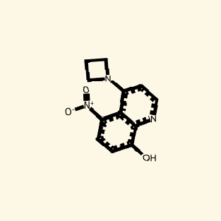 O=[N+]([O-])c1ccc(O)c2nccc(N3CCC3)c12